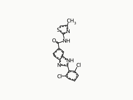 Cc1csc(NC(=O)c2ccc3nc(-c4c(Cl)cccc4Cl)[nH]c3c2)n1